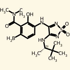 Bc1ccc(NC2=NS(=O)(=O)N=C2N[C@@H](C)C(C)(C)C)c(O)c1C(=O)N(C)C